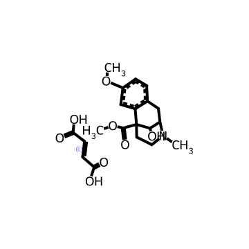 COC(=O)C12CCN(C)C(Cc3ccc(OC)cc31)C2O.O=C(O)/C=C/C(=O)O